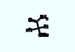 CCCC(CC)(OC)C(N)=O